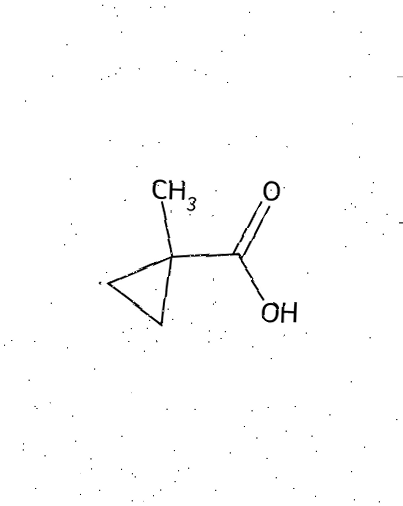 CC1(C(=O)O)[CH]C1